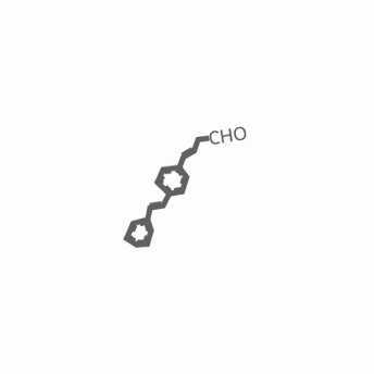 O=CC/C=C/c1ccc(/C=C/c2ccccc2)cc1